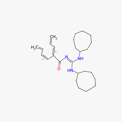 C=C/C=C\C(=C/C=C)C(=O)N=C(NC1CCCCCCC1)NC1CCCCCCC1